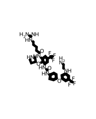 N=C(N)NCCCCC(=O)Nc1cc(C(F)(F)F)cc(NC(=O)Nc2ccc(Oc3cc(NCCN)cc(C(F)(F)F)c3)cc2)c1O[C@@H]1CCNC1